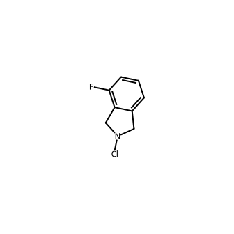 Fc1cccc2c1CN(Cl)C2